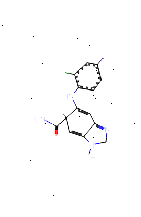 CN1CN=C2C=C(Nc3ccc(I)cc3F)C(F)(C(N)=O)C=C21